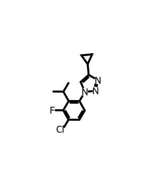 CC(C)c1c(-n2cc(C3CC3)nn2)ccc(Cl)c1F